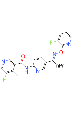 CCC/C(=N\Oc1ncccc1F)c1ccc(NC(=O)c2cncc(F)c2C)nc1